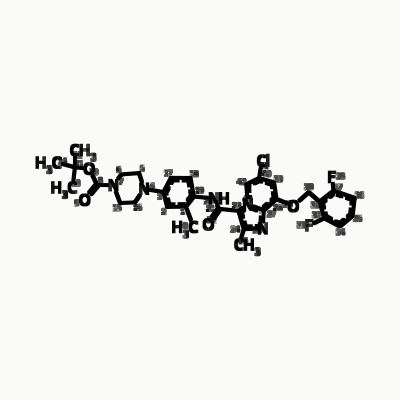 Cc1cc(N2CCN(C(=O)OC(C)(C)C)CC2)ccc1NC(=O)c1c(C)nc2c(OCc3c(F)cccc3F)cc(Cl)cn12